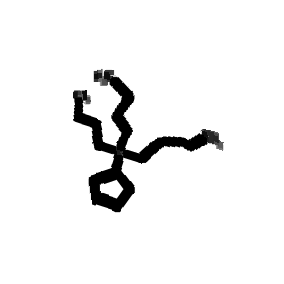 CCC[CH2][Zr]([CH2]CCC)([CH2]CCC)[C]1=CC=CC1